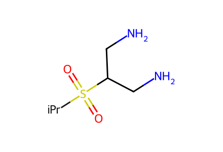 CC(C)S(=O)(=O)C(CN)CN